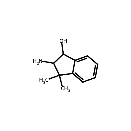 CC1(C)c2ccccc2C(O)C1N